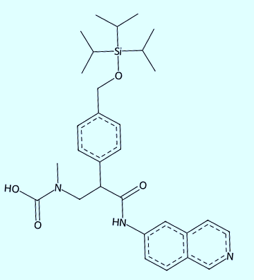 CC(C)[Si](OCc1ccc(C(CN(C)C(=O)O)C(=O)Nc2ccc3cnccc3c2)cc1)(C(C)C)C(C)C